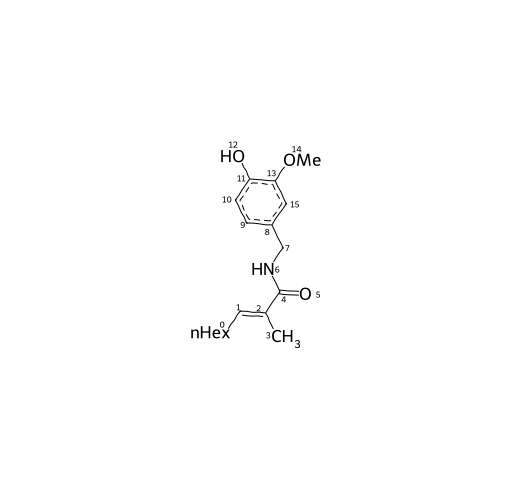 CCCCCCC=C(C)C(=O)NCc1ccc(O)c(OC)c1